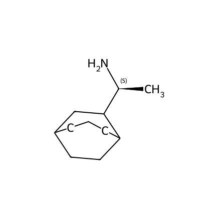 C[C@H](N)C1CC2CCCC1CC2